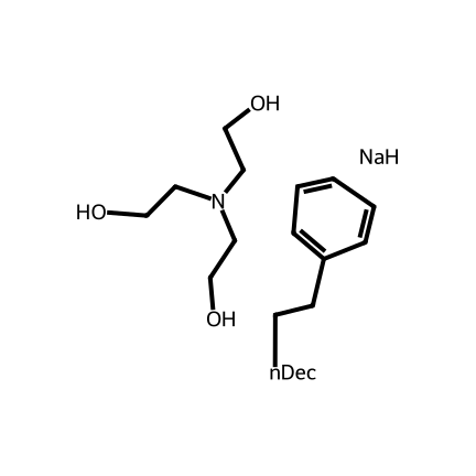 CCCCCCCCCCCCc1ccccc1.OCCN(CCO)CCO.[NaH]